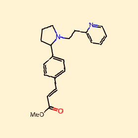 COC(=O)C=Cc1ccc(C2CCCN2CCc2ccccn2)cc1